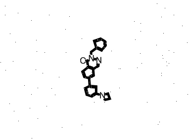 O=c1c2ccc(-c3cccc(N4CCC4)c3)cc2cnn1Cc1ccccc1